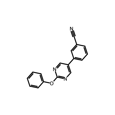 N#Cc1cccc(-c2cnc(Oc3ccccc3)nc2)c1